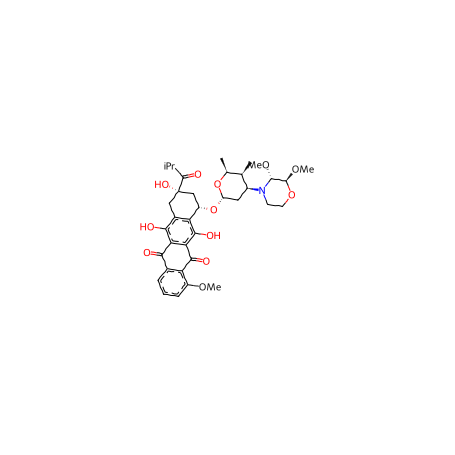 COc1cccc2c1C(=O)c1c(O)c3c(c(O)c1C2=O)C[C@@](O)(C(=O)C(C)C)C[C@@H]3O[C@H]1C[C@H](N2CCO[C@H](OC)[C@H]2OC)[C@H](C)[C@H](C)O1